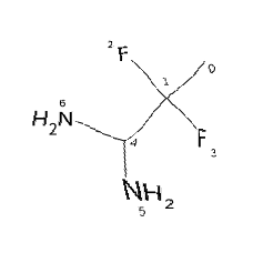 CC(F)(F)C(N)N